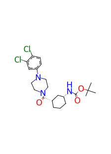 CC(C)(C)OC(=O)N[C@@H]1CCC[C@H](C(=O)N2CCN(c3ccc(Cl)c(Cl)c3)CC2)C1